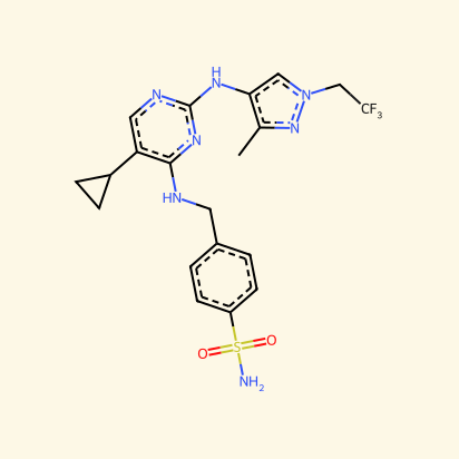 Cc1nn(CC(F)(F)F)cc1Nc1ncc(C2CC2)c(NCc2ccc(S(N)(=O)=O)cc2)n1